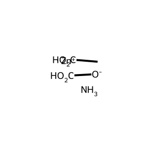 CC(=O)O.N.O=C([O-])O.[Zn+]